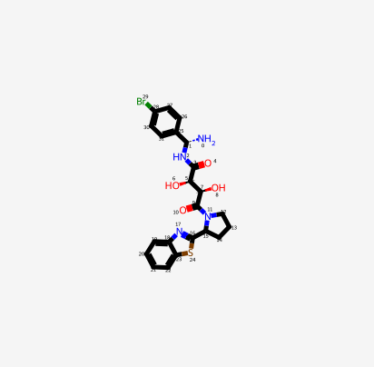 N[C@H](NC(=O)[C@H](O)[C@@H](O)C(=O)N1CCCC1c1nc2ccccc2s1)c1ccc(Br)cc1